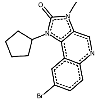 Cn1c(=O)n(C2CCCC2)c2c3cc(Br)ccc3ncc21